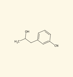 CC(O)Cc1cccc(C#N)c1